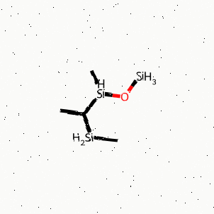 C[SiH2]C(C)[SiH](C)O[SiH3]